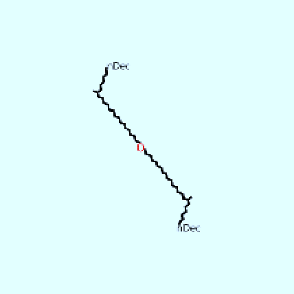 CCCCCCCCCCCCCCCCC(C)CCCCCCCCCCCCCCCCOCCCCCCCCCCCCCCCCC(C)CCCCCCCCCCCCCCCC